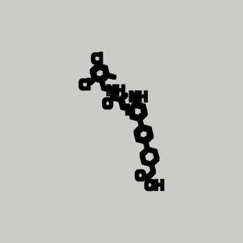 C/C(=C\n1cc(-c2ccc(C3CCC(CC(=O)O)CC3)cc2)ccc1=N)C(=O)NCc1c(C)cc(Cl)cc1Cl